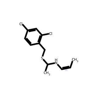 C/C=C\NC(C)SCc1ccc(Cl)cc1Cl